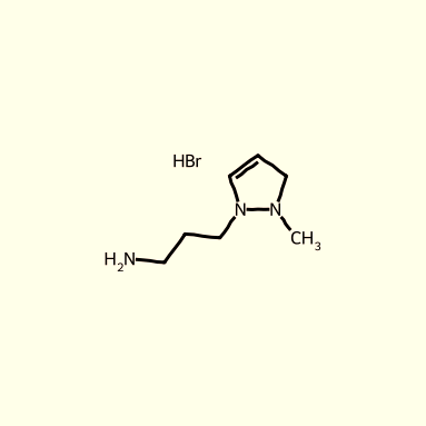 Br.CN1CC=CN1CCCN